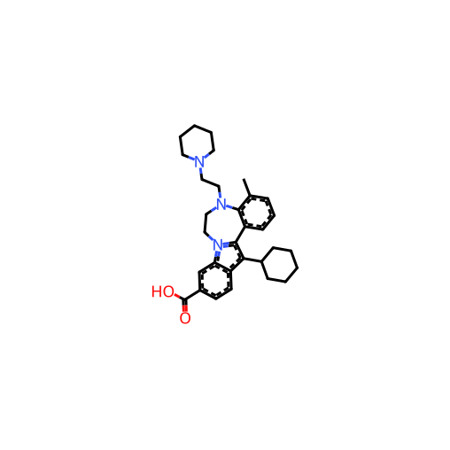 Cc1cccc2c1N(CCN1CCCCC1)CCn1c-2c(C2CCCCC2)c2ccc(C(=O)O)cc21